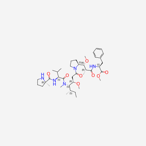 CC[C@H](C)[C@@H]([C@@H](CC(=O)N1CCC[C@H]1[C@H](OC)[C@@H](C)C(=O)N[C@@H](Cc1ccccc1)C(=O)OC)OC)N(C)C(=O)[C@@H](NC(=O)[C@@]1(C)CCCN1)C(C)C